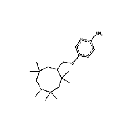 CN1CC(C)(C)CC(COc2ccc(N)nc2)C(C)(C)CC1(C)C